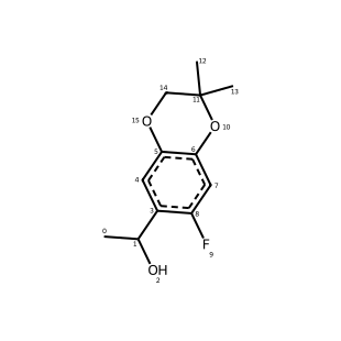 CC(O)c1cc2c(cc1F)OC(C)(C)CO2